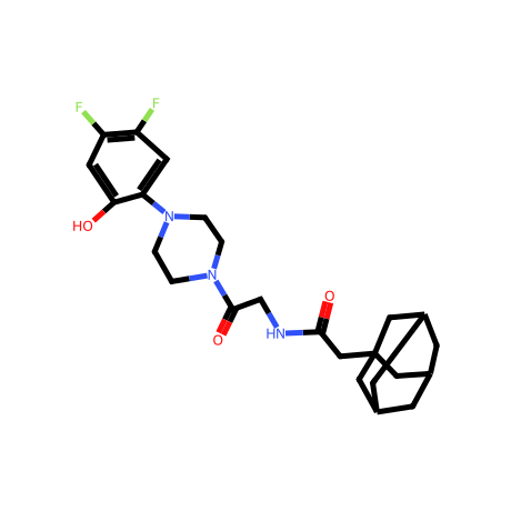 O=C(CC12CC3CC(CC(C3)C1)C2)NCC(=O)N1CCN(c2cc(F)c(F)cc2O)CC1